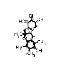 Cc1c(C)c2c(c(C)c1O)CCC(C)(C[C@@H]1OC[C@@H](O)[C@H](O)[C@H]1O)O2